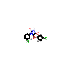 CN1C(=O)N(c2cccc(Cl)c2)C(=O)C1Oc1cccc(Cl)c1